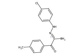 B/C(=N\Nc1ccc(Cl)cc1)C(=O)c1ccc(C)cc1